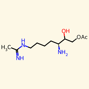 CC(=N)NCCCC[C@H](N)C(O)COC(C)=O